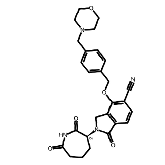 N#Cc1ccc2c(c1OCc1ccc(CN3CCOCC3)cc1)CN([C@H]1CCCC(=O)NC1=O)C2=O